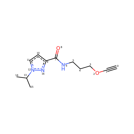 C#COCCCNC(=O)c1ccn(C(C)C)n1